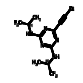 CCC#Cc1nc(N[C@H](C)C(F)(F)F)nc(N[C@H](C)C(F)(F)F)n1